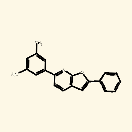 Cc1cc(C)cc(-c2ccc3cc(-c4ccccc4)oc3n2)c1